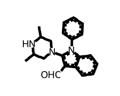 CC1CN(c2c(C=O)c3ccccc3n2-c2ccccc2)CC(C)N1